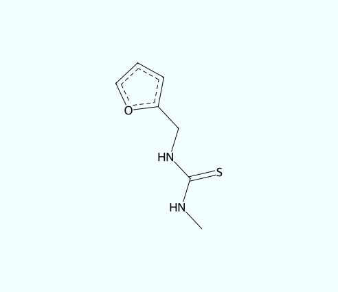 CNC(=S)NCc1ccco1